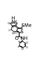 CSc1sc(C(=O)Nc2ccccc2)c2c1C1=C(CC2)CNS1